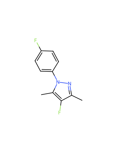 Cc1nn(-c2ccc(F)cc2)c(C)c1F